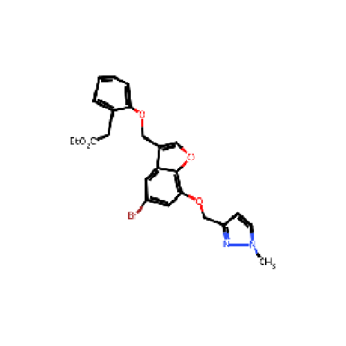 CCOC(=O)Cc1ccccc1OCc1coc2c(OCc3ccn(C)n3)cc(Br)cc12